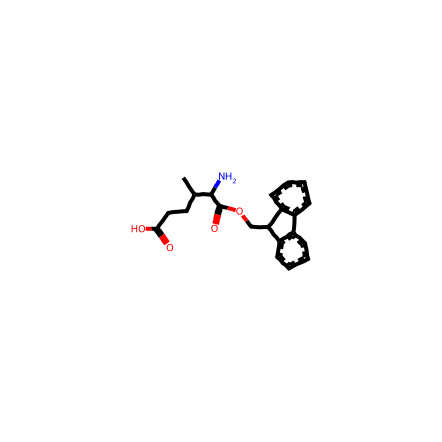 CC(CCC(=O)O)C(N)C(=O)OCC1c2ccccc2-c2ccccc21